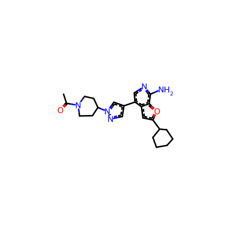 CC(=O)N1CCC(n2cc(-c3cnc(N)c4oc(C5CCCCC5)cc34)cn2)CC1